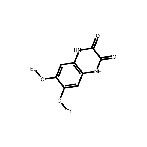 CCOc1cc2[nH]c(=O)c(=O)[nH]c2cc1OCC